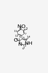 Cc1nc(=O)c(-c2ccc([N+](=O)[O-])cc2)c(C)[nH]1